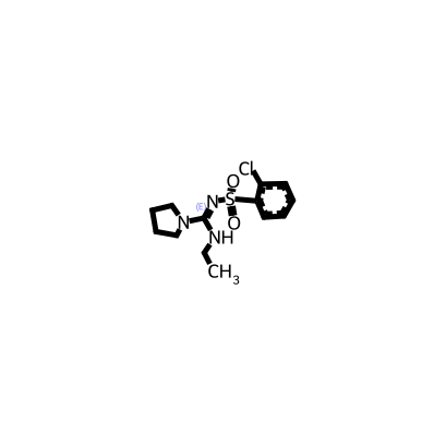 CCN/C(=N\S(=O)(=O)c1ccccc1Cl)N1CCCC1